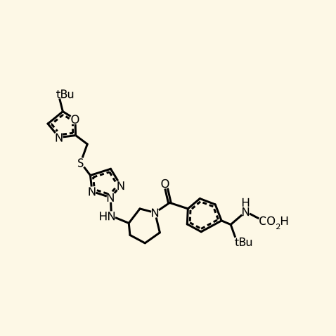 CC(C)(C)c1cnc(CSc2cnn(NC3CCCN(C(=O)c4ccc(C(NC(=O)O)C(C)(C)C)cc4)C3)n2)o1